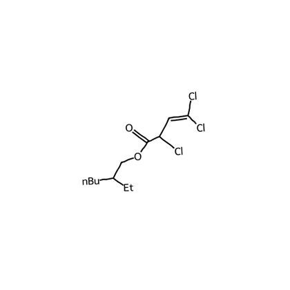 CCCCC(CC)COC(=O)C(Cl)C=C(Cl)Cl